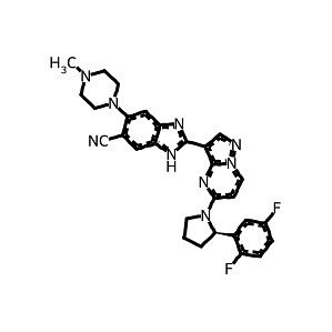 CN1CCN(c2cc3nc(-c4cnn5ccc(N6CCC[C@@H]6c6cc(F)ccc6F)nc45)[nH]c3cc2C#N)CC1